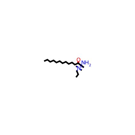 CCCCCCCCCCCC(=O)C(C)(N)[N+](C)(C)CCC